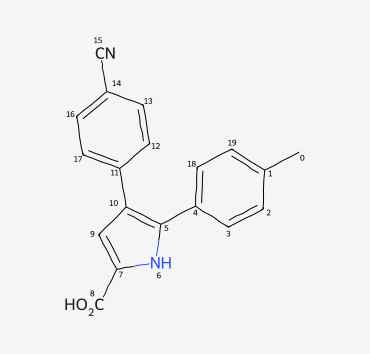 Cc1ccc(-c2[nH]c(C(=O)O)cc2-c2ccc(C#N)cc2)cc1